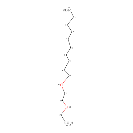 CCCCCCCCCCCCCCCCCCCOCCOCC(=O)O